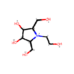 OCCN1C(CO)C(O)C(O)C1CO